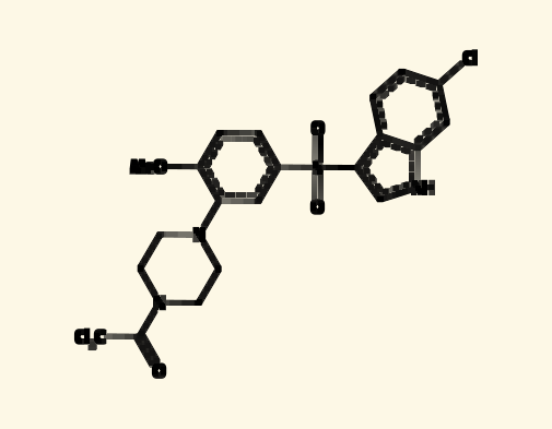 COc1ccc(S(=O)(=O)c2c[nH]c3cc(Cl)ccc23)cc1N1CCN(C(=O)C(Cl)(Cl)Cl)CC1